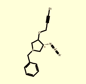 CCC#CCOC1CN(Cc2ccccc2)C[C@H]1N=[N+]=[N-]